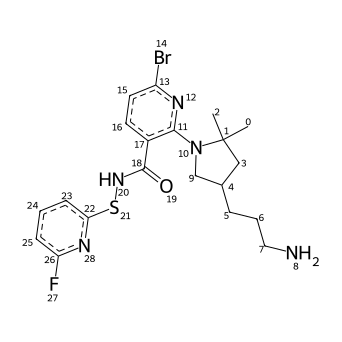 CC1(C)CC(CCCN)CN1c1nc(Br)ccc1C(=O)NSc1cccc(F)n1